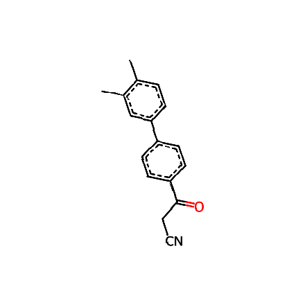 Cc1ccc(-c2ccc(C(=O)CC#N)cc2)cc1C